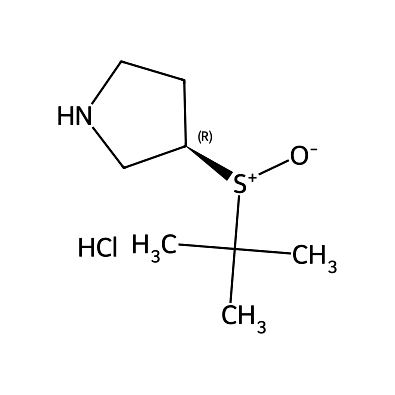 CC(C)(C)[S+]([O-])[C@@H]1CCNC1.Cl